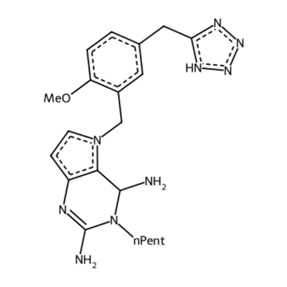 CCCCCN1C(N)=Nc2ccn(Cc3cc(Cc4nnn[nH]4)ccc3OC)c2C1N